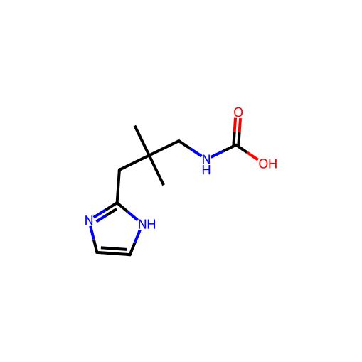 CC(C)(CNC(=O)O)Cc1ncc[nH]1